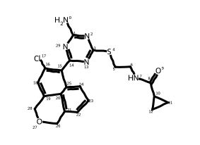 Nc1nc(SCCNC(=O)C2CC2)nc(-c2c(Cl)cc3c4c(cccc24)COC3)n1